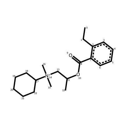 CCc1ccccc1C(=O)OC(C)C[N+](C)(C)C1CCCCC1